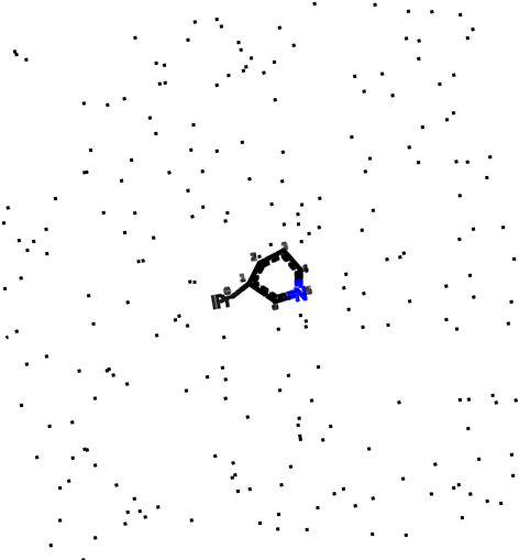 CC(C)c1cccnc1